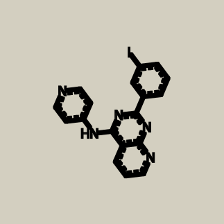 Ic1cccc(-c2nc(Nc3ccncc3)c3cccnc3n2)c1